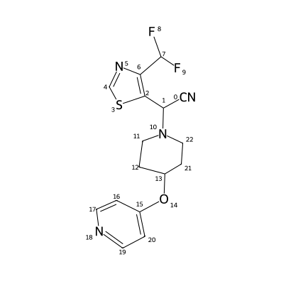 N#CC(c1scnc1C(F)F)N1CCC(Oc2ccncc2)CC1